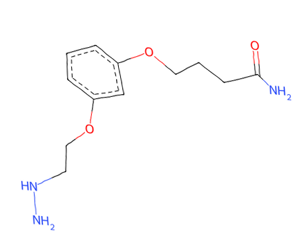 NNCCOc1cccc(OCCCC(N)=O)c1